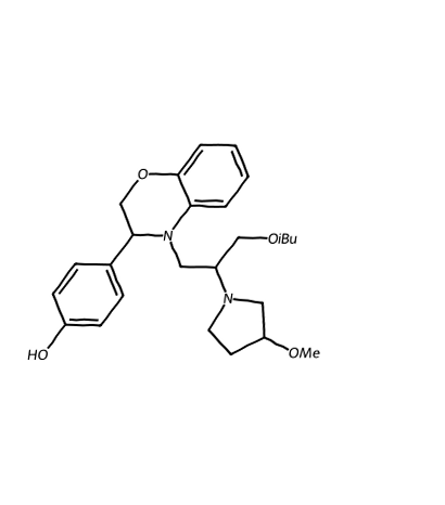 COC1CCN(C(COCC(C)C)CN2c3ccccc3OCC2c2ccc(O)cc2)C1